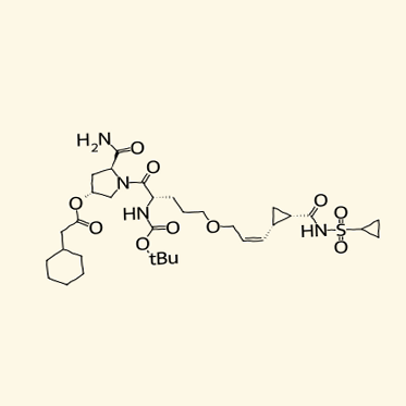 CC(C)(C)OC(=O)N[C@@H](CCCOC/C=C\[C@@H]1C[C@@H]1C(=O)NS(=O)(=O)C1CC1)C(=O)N1C[C@H](OC(=O)CC2CCCCC2)C[C@H]1C(N)=O